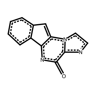 O=c1nc2c(n3ccnc13)=Cc1ccccc1-2